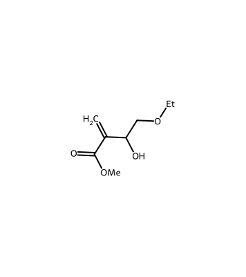 C=C(C(=O)OC)C(O)COCC